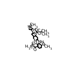 COc1ccc(C(=O)N(C)C)cc1Nc1cc2c(cn1)cc(-c1cnn(C)c1)n2C(=O)OC(C)(C)C